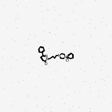 O=c1ccc(-c2ccccc2)nn1CCCCN1CCN(C2(Cl)C=CC=CC2)CC1